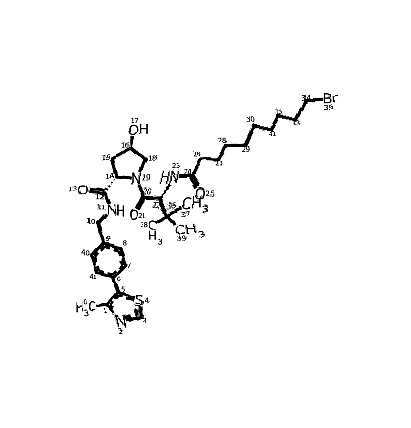 Cc1ncsc1-c1ccc(CNC(=O)[C@@H]2C[C@@H](O)CN2C(=O)[C@@H](NC(=O)CCCCCCCCCBr)C(C)(C)C)cc1